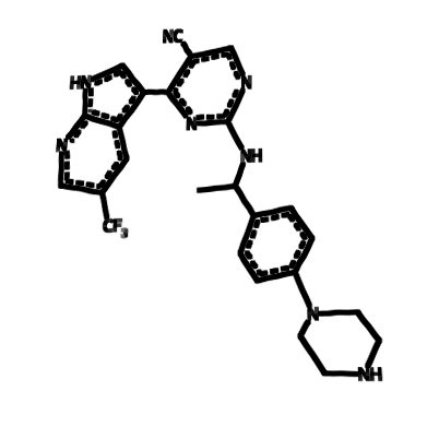 CC(Nc1ncc(C#N)c(-c2c[nH]c3ncc(C(F)(F)F)cc23)n1)c1ccc(N2CCNCC2)cc1